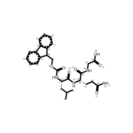 CC(C)C[C@H](NC(=O)OCC1c2ccccc2-c2ccccc21)C(=O)N[C@@H](CCC(N)=O)C(=O)NCC(=O)O